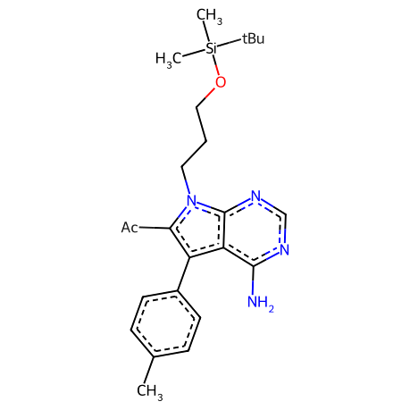 CC(=O)c1c(-c2ccc(C)cc2)c2c(N)ncnc2n1CCCO[Si](C)(C)C(C)(C)C